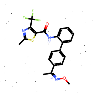 CO/N=C(/C)c1ccc(-c2ccccc2NC(=O)c2sc(C)nc2C(F)(F)F)cc1